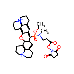 CCOP(=O)(C1=c2cc3c4c(c2Oc2c1cc1c5c2CCCN5CCC1)CCC[N+]=4CCC3)N(C)CCC(=O)ON1C(=O)CCC1=O